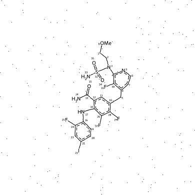 COCCN(c1nccc(Cc2cc(C(N)=O)c(Nc3ccc(I)cc3F)c(F)c2F)c1F)S(N)(=O)=O